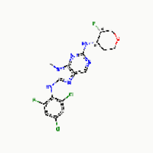 Cn1c(Nc2c(F)cc(Cl)cc2Cl)nc2cnc(N[C@H]3CCOC[C@H]3F)nc21